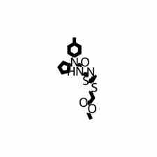 CCOC(=O)CCSc1cnc(NC(=O)N(C2CCCC2)C2CCC(C)CC2)s1